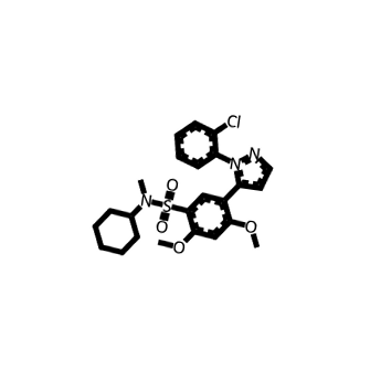 COc1cc(OC)c(S(=O)(=O)N(C)C2CCCCC2)cc1-c1ccnn1-c1ccccc1Cl